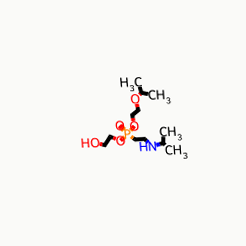 CC(C)NCCP(=O)(OCCO)OCCOC(C)C